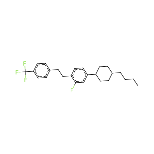 CCCCC1CCC(c2ccc(CCc3ccc(C(F)(F)F)cc3)c(F)c2)CC1